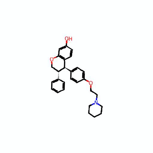 Oc1ccc2c(c1)OC[C@@H](c1ccccc1)[C@@H]2c1ccc(OCCN2CCCCC2)cc1